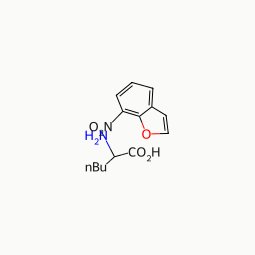 CCCCC(N)C(=O)O.O=[N+]([O-])c1cccc2ccoc12